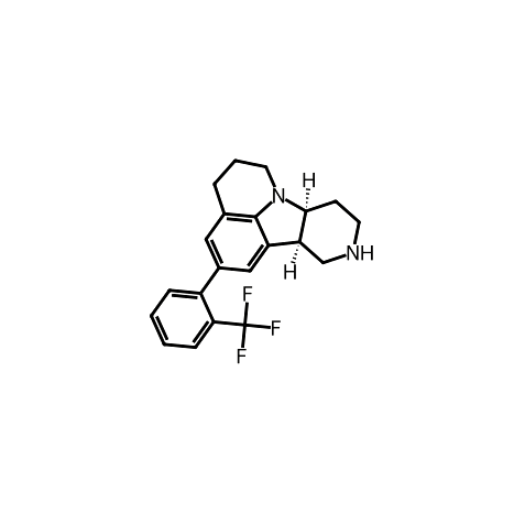 FC(F)(F)c1ccccc1-c1cc2c3c(c1)[C@@H]1CNCC[C@@H]1N3CCC2